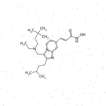 CCN(CCC(C)(C)C)Cc1c(CCC(C)C)nc2cc(C=CC(=O)NO)ccn12